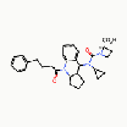 O=C(O)[C@@H]1CCN1C(=O)N(C1CC1)C1c2ccccc2N(C(=O)CCCc2ccccc2)C2CCCC21